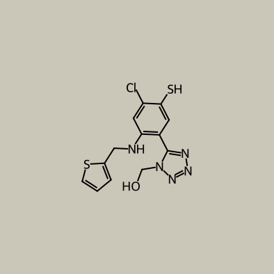 OCn1nnnc1-c1cc(S)c(Cl)cc1NCc1cccs1